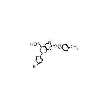 Cc1ccc(CNc2ncc3c(n2)CC(c2ccc(Br)cc2)C/C3=N\O)cc1